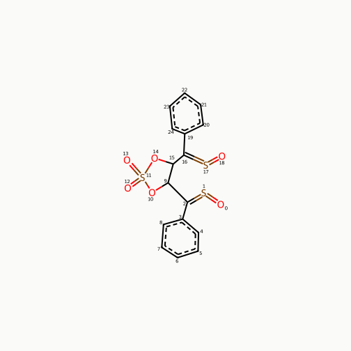 O=S=C(c1ccccc1)C1OS(=O)(=O)OC1C(=S=O)c1ccccc1